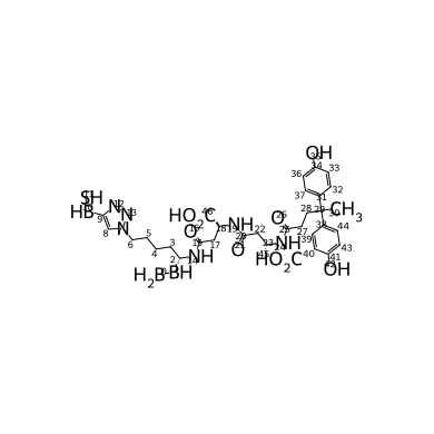 BB[C@H](CCCCn1cc(BS)nn1)NC(=O)C[C@H](NC(=O)C[C@H](NC(=O)CCC(C)(c1ccc(O)cc1)c1ccc(O)cc1)C(=O)O)C(=O)O